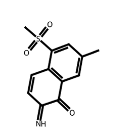 Cc1cc2c(c(S(C)(=O)=O)c1)C=CC(=N)C2=O